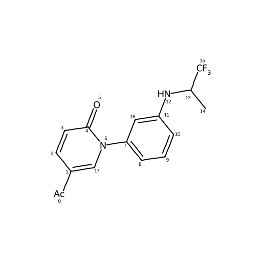 CC(=O)c1ccc(=O)n(-c2cccc(NC(C)C(F)(F)F)c2)c1